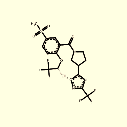 C[C@@H](Oc1ccc(S(C)(=O)=O)cc1C(=O)N1CCC(c2nc(C(F)(F)F)no2)C1)C(F)(F)F